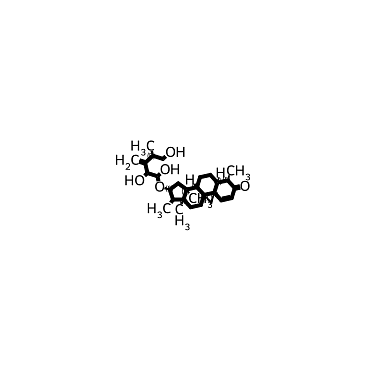 C=C(C(O)C(O)O[C@H]1C[C@@]2(C)[C@@H]3CC[C@H]4[C@H](C)C(=O)C=C[C@@]45C[C@@]35CC[C@]2(C)C1C)[C@@H](C)CO